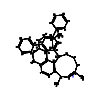 CC/C1=C/C(S)c2ccc3c(c2N(c2nc(-c4ccccc4)cc(-c4ccccc4)n2)CCC1)C1CC(C)CCC1CS3